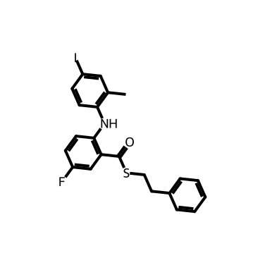 Cc1cc(I)ccc1Nc1ccc(F)cc1C(=O)SCCc1ccccc1